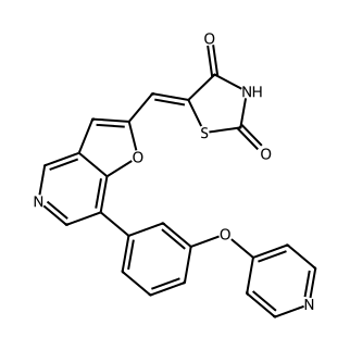 O=C1NC(=O)C(=Cc2cc3cncc(-c4cccc(Oc5ccncc5)c4)c3o2)S1